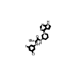 CC(C)(C)[C@@H](Nc1cc(F)cc(Cl)c1)C(=O)N[C@@H]1CCCN(c2ncnc3[nH]ccc23)C1